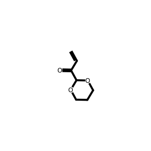 C=CC(=O)C1OCCCO1